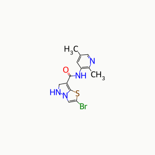 Cc1cnc(C)c(NC(=O)C2=C3SC(Br)=CN3NC2)c1